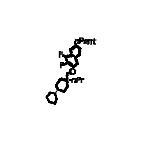 CCCCCc1ccc2cc(OC[C@]3(CCC)CC[C@@H](C4CCCCC4)CC3)c(F)c(F)c2c1